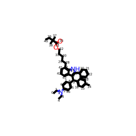 CCN(CC)c1ccc(C(c2ccc(C)cc2)c2c(-c3ccccc3)[nH]c3c(CCCCCOC(=O)C(C)(C)CC)cccc23)cc1